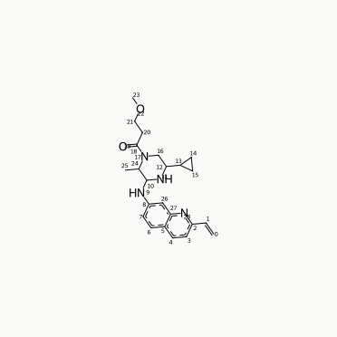 C=Cc1ccc2ccc(NC3NC(C4CC4)CN(C(=O)CCOC)C3C)cc2n1